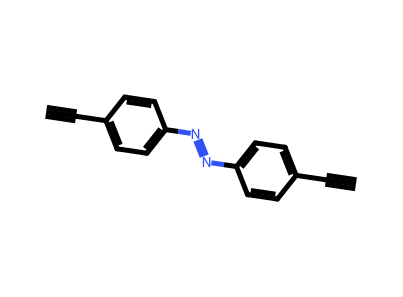 C#Cc1ccc(N=Nc2ccc(C#C)cc2)cc1